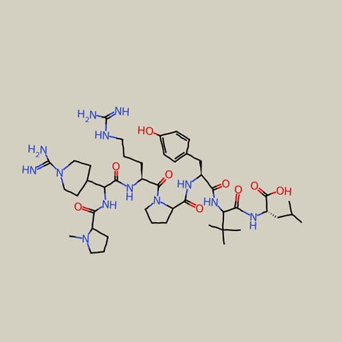 CC(C)C[C@H](NC(=O)C(NC(=O)[C@H](Cc1ccc(O)cc1)NC(=O)C1CCCN1C(=O)[C@H](CCCNC(=N)N)NC(=O)C(NC(=O)C1CCCN1C)C1CCN(C(=N)N)CC1)C(C)(C)C)C(=O)O